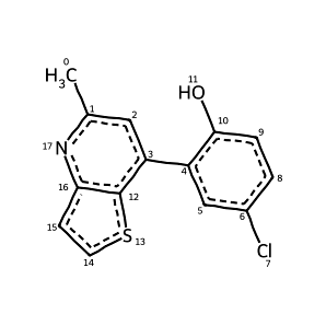 Cc1cc(-c2cc(Cl)ccc2O)c2sccc2n1